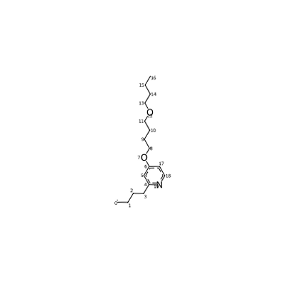 [CH2]CCCc1cc(OCCCCOCCCC)ccn1